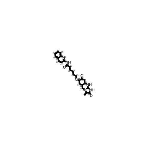 C=C1C(=O)NC2NC3CC(Cl)C(OCCCCCC(=O)Nc4ccc5ccccc5n4)CC3CN12